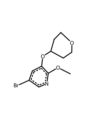 COc1ncc(Br)cc1OC1CCOCC1